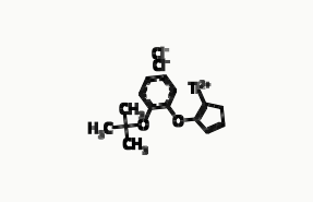 CC(C)(C)Oc1ccccc1OC1=[C]([Ti+2])CC=C1.[Cl-].[Cl-]